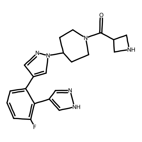 O=C(C1CNC1)N1CCC(n2cc(-c3cccc(F)c3-c3cn[nH]c3)cn2)CC1